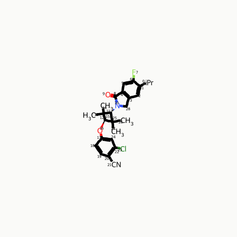 CC(C)c1cc2c(cc1F)C(=O)N([C@H]1C(C)(C)[C@H](Oc3ccc(C#N)c(Cl)c3)C1(C)C)C2